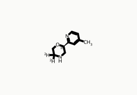 [2H]C1([2H])CO[C@@H](c2cc(C)ccn2)CN1